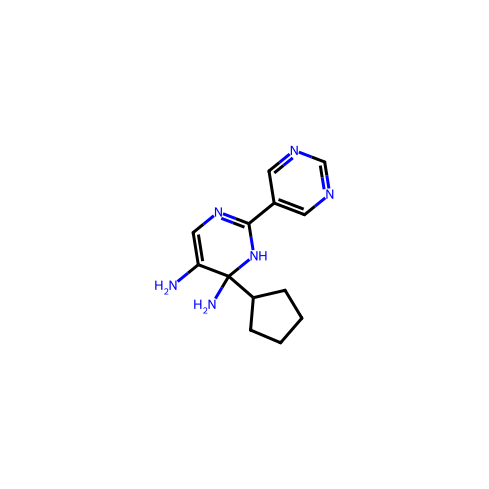 NC1=CN=C(c2cncnc2)NC1(N)C1CCCC1